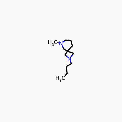 CCCCN1CC2(CCCN(C)C2)C1